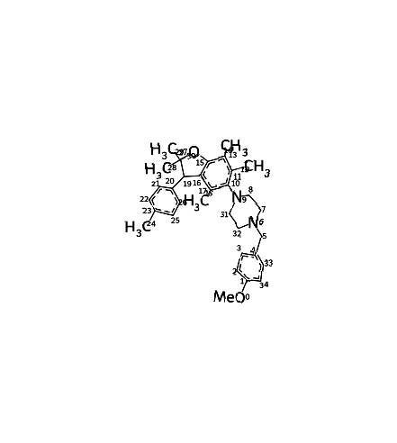 COc1ccc(CN2CCN(c3c(C)c(C)c4c(c3C)C(c3ccc(C)cc3)C(C)(C)O4)CC2)cc1